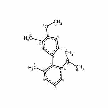 COc1ccc(-c2c(C)[c]ccc2N(C)C)cc1C